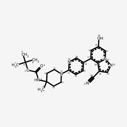 CC1(NC(=O)OC(C)(C)C)CCN(c2ccc(-c3cc(O)cn4ncc(C#N)c34)cn2)CC1